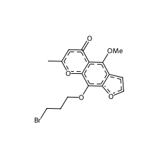 COc1c2ccoc2c(OCCCBr)c2oc(C)cc(=O)c12